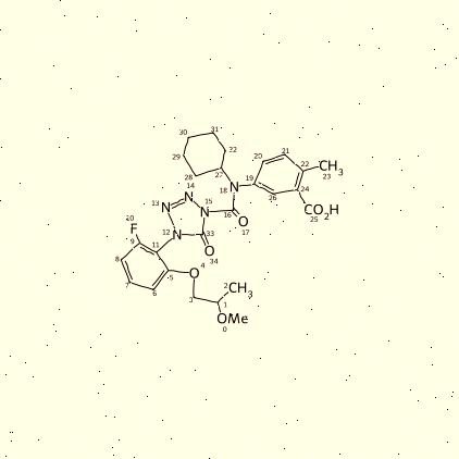 COC(C)COc1cccc(F)c1-n1nnn(C(=O)N(c2ccc(C)c(C(=O)O)c2)C2CCCCC2)c1=O